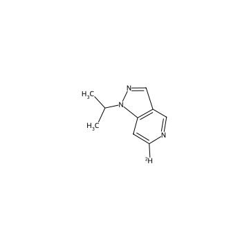 [2H]c1cc2c(cn1)cnn2C(C)C